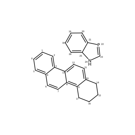 c1ccc2c(c1)ccc1c3c(ccc12)CCCC3.c1ccc2pc[nH]c2c1